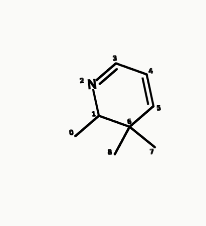 CC1N=CC=CC1(C)C